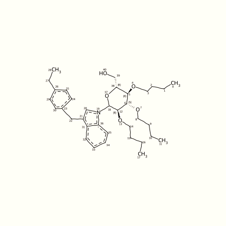 CCCCO[C@H]1[C@H](OCCCC)[C@@H](OCCCC)C(n2cc(Cc3ccc(CC)cc3)c3ccccc32)O[C@@H]1CO